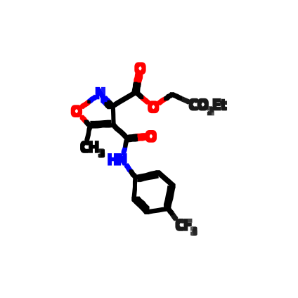 CCOC(=O)COC(=O)c1noc(C)c1C(=O)Nc1ccc(C(F)(F)F)cc1